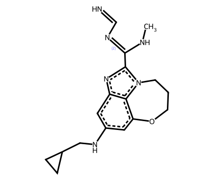 CN/C(=N\C=N)c1nc2cc(NCC3CC3)cc3c2n1CCCO3